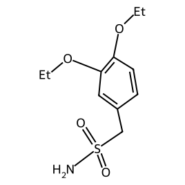 CCOc1ccc(CS(N)(=O)=O)cc1OCC